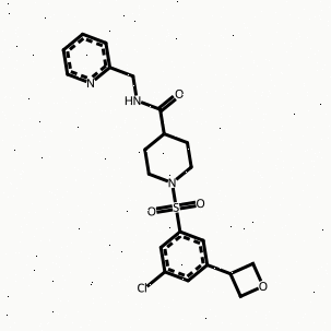 O=C(NCc1ccccn1)C1CCN(S(=O)(=O)c2cc(Cl)cc(C3COC3)c2)CC1